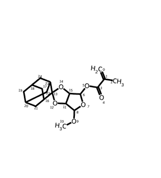 C=C(C)C(=O)OC1OC(OC)C2OC3(OC12)C1CC2CC(C1)CC3C2